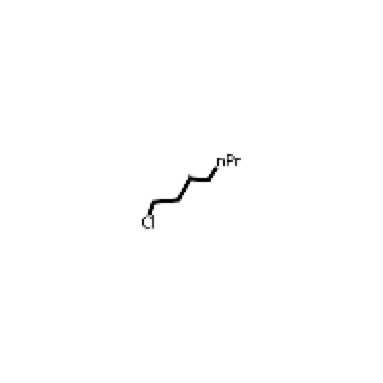 CCCC[CH]CCCl